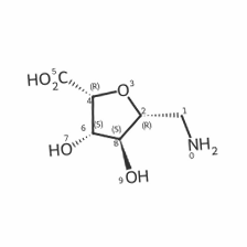 NC[C@H]1O[C@@H](C(=O)O)[C@@H](O)[C@@H]1O